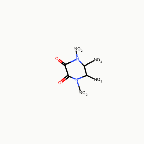 O=C1C(=O)N([N+](=O)[O-])C([N+](=O)[O-])C([N+](=O)[O-])N1[N+](=O)[O-]